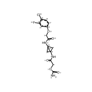 NC(=O)OCC(=O)NC12CC(NC(=O)COc3ccc(Cl)c(F)c3)(C1)C2